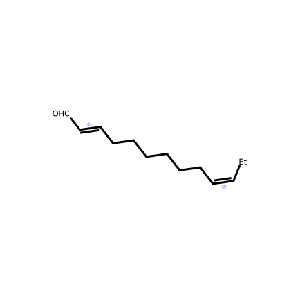 CC/C=C\CCCCCC/C=C/C=O